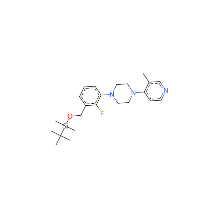 Cc1cnccc1N1CCN(c2cccc(CO[Si](C)(C)C(C)(C)C)c2F)CC1